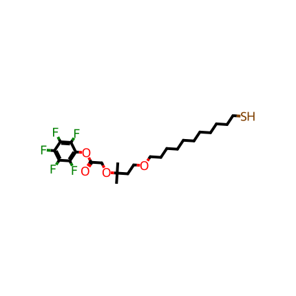 CC(C)(CCOCCCCCCCCCCCS)OCC(=O)Oc1c(F)c(F)c(F)c(F)c1F